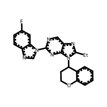 CCc1nc2cnc(-n3cnc4ccc(F)cc43)nc2n1C1CCOc2ccccc21